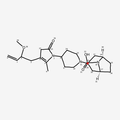 C=CC(CC1=C(C)N(C2CCN(C3C[C@H]4CC[C@@H](C3)N4C(=O)O)CC2)C(=O)C1)OC